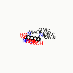 COC(CN(Cc1ccc(O)c2c1CC1CC3C(N(C)C)C(O)=C(C(N)=O)C(=O)C3(O)C(O)=C1C2=O)CC(OC)OC)OC